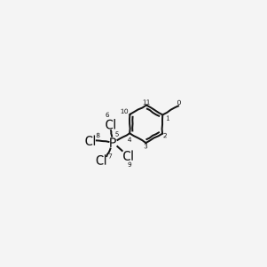 Cc1ccc(P(Cl)(Cl)(Cl)Cl)cc1